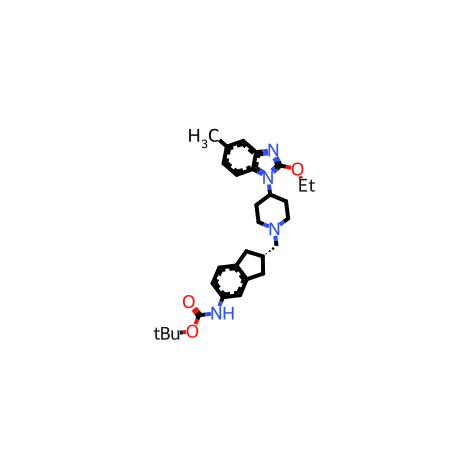 CCOc1nc2cc(C)ccc2n1C1CCN(C[C@H]2Cc3ccc(NC(=O)OC(C)(C)C)cc3C2)CC1